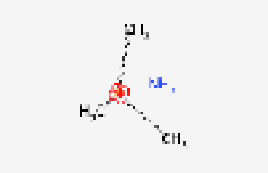 CCCCCCCCCCCCOP(=O)(OCCCC)OCCCCCCCCCCCC.N